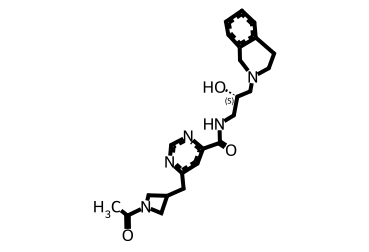 CC(=O)N1CC(Cc2cc(C(=O)NC[C@H](O)CN3CCc4ccccc4C3)ncn2)C1